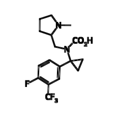 CN1CCCC1CN(C(=O)O)C1(c2ccc(F)c(C(F)(F)F)c2)CC1